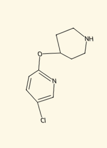 Clc1ccc(OC2CCNCC2)nc1